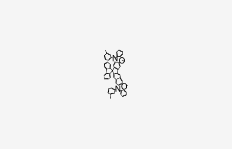 COc1ccccc1N(c1cccc(C)c1)c1ccc2c(c1)C1(c3ccccc3-c3ccccc31)c1cc3cc(N(c4cccc(C)c4)c4ccccc4OC)ccc3cc1-2